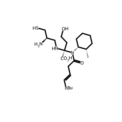 CCCC/C=C/CC(=O)N([C@@H]1CCCC[C@@H]1C)[C@](CCO)(NC[C@@H](N)CS)C(=O)O